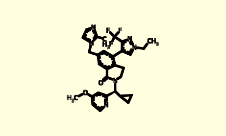 CCn1cc(-c2cc(Cn3ccnc3C)cc3c2CCN([C@H](c2cc(OC)ccn2)C2CC2)C3=O)c(C(F)(F)F)n1